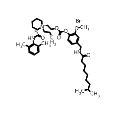 CCC[N+]1(CCOC(=O)Oc2ccc(CNC(=O)CCCCCCC(C)C)cc2OC)CCCC[C@H]1C(=O)Nc1c(C)cccc1C.[Br-]